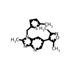 Cc1ccc(Cn2c(C)nc3ncc(-c4c(C)noc4C)cc32)s1